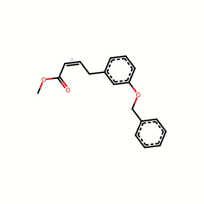 COC(=O)/C=C\Cc1cccc(OCc2ccccc2)c1